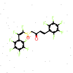 O=C(/C=C/c1c(F)c(F)c(F)c(F)c1F)C[S+]([O-])/C(F)=C(/F)c1c(F)c(F)c(F)c(F)c1F